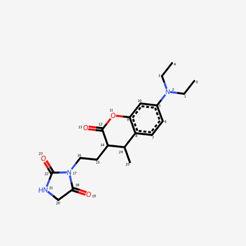 CCN(CC)c1ccc2c(c1)OC(=O)C(CCN1C(=O)CNC1=O)C2C